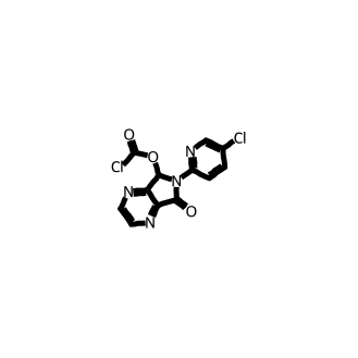 O=C(Cl)OC1c2nccnc2C(=O)N1c1ccc(Cl)cn1